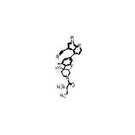 Cc1cc(-c2ccnc3[nH]cc(C#N)c23)cc(F)c1C1(O)[C@H](C)CN(C(=O)[C@@H](N)CO)C[C@@H]1C